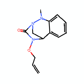 C=CCON1C(=O)N2CC1c1ccccc1N2C